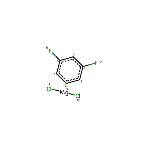 Fc1c[c]cc(F)c1.[Cl][Mg][Cl]